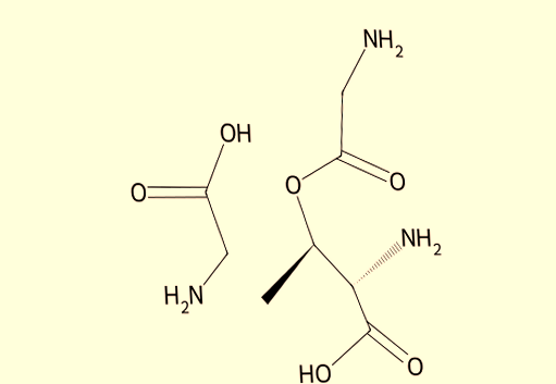 C[C@@H](OC(=O)CN)[C@H](N)C(=O)O.NCC(=O)O